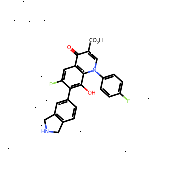 O=C(O)c1cn(-c2ccc(F)cc2)c2c(O)c(-c3ccc4c(c3)CNC4)c(F)cc2c1=O